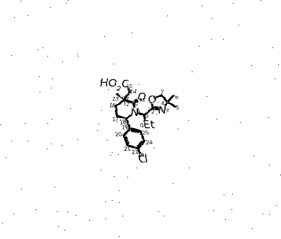 CCC(C1=NC(C)(C)CO1)N1C(=O)[C@@](C)(CC(=O)O)CCC1c1ccc(Cl)cc1